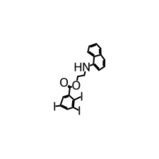 O=C(OCCNc1cccc2ccccc12)c1cc(I)cc(I)c1I